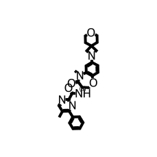 Cc1cnc(C(=O)N[C@H]2COc3ccc(N4CC5(CCOCC5)C4)cc3N(C)C2=O)nc1-c1ccccc1